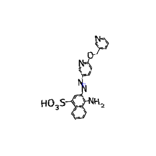 Nc1c(/N=N/c2ccc(OCc3cccnc3)nc2)cc(S(=O)(=O)O)c2ccccc12